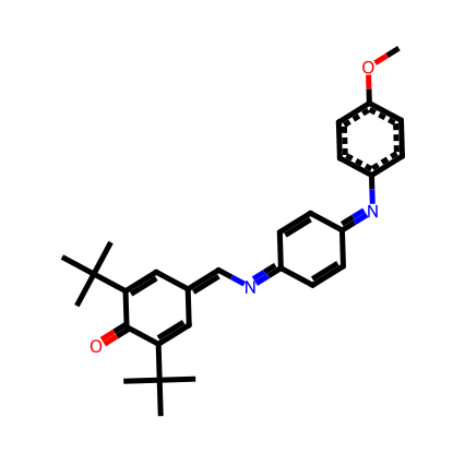 COc1ccc(N=C2C=CC(=NC=C3C=C(C(C)(C)C)C(=O)C(C(C)(C)C)=C3)C=C2)cc1